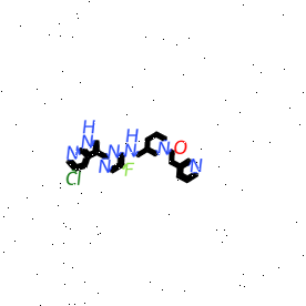 O=C(Cc1cccnc1)N1CCCC(CNc2nc(-c3c[nH]c4ncc(Cl)cc34)ncc2F)C1